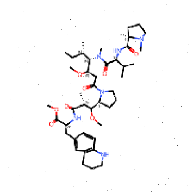 CC[C@H](C)[C@@H]([C@@H](CC(=O)N1CCC[C@H]1C(OC)[C@@H](C)C(=O)N[C@@H](Cc1ccc2c(c1)CCCN2)C(=O)OC)OC)N(C)C(=O)[C@@H](NC(=O)[C@@]1(C)CCCN1C)C(C)C